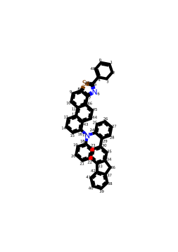 C1=CCCC(c2nc3c(ccc4c5cccc(N(c6ccccc6)c6ccccc6-c6ccc7c(c6)Cc6ccccc6-7)c5ccc43)s2)=C1